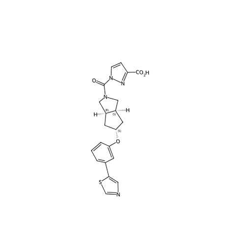 O=C(O)c1ccn(C(=O)N2C[C@H]3C[C@H](Oc4cccc(-c5cncs5)c4)C[C@H]3C2)n1